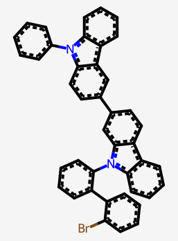 Brc1ccccc1-c1ccccc1-n1c2ccccc2c2ccc(-c3ccc4c(c3)c3ccccc3n4-c3ccccc3)cc21